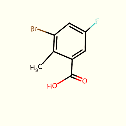 Cc1c(Br)cc(F)cc1C(=O)O